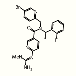 CN/C(N)=N\c1ccc(C(=O)N(Cc2ccc(Br)cn2)[C@H](C)c2ccccc2F)cn1